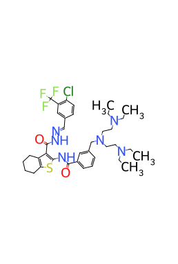 CCN(CC)CCN(CCN(CC)CC)Cc1cccc(C(=O)Nc2sc3c(c2C(=O)NN=Cc2ccc(Cl)c(C(F)(F)F)c2)CCCC3)c1